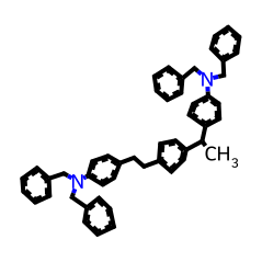 CC(c1ccc(CCc2ccc(N(Cc3ccccc3)Cc3ccccc3)cc2)cc1)c1ccc(N(Cc2ccccc2)Cc2ccccc2)cc1